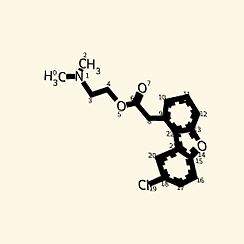 CN(C)CCOC(=O)Cc1cccc2oc3ccc(Cl)cc3c12